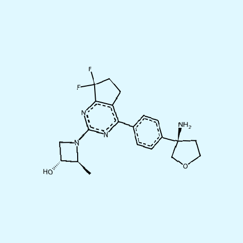 C[C@H]1[C@H](O)CN1c1nc(-c2ccc([C@]3(N)CCOC3)cc2)c2c(n1)C(F)(F)CC2